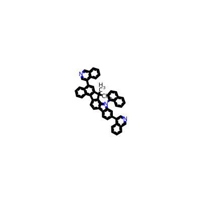 CC1(C)c2cc(-c3cncc4ccccc34)c3ccccc3c2-c2ccc3c4ccc(-c5cncc6ccccc56)cc4n(-c4cccc5ccccc45)c3c21